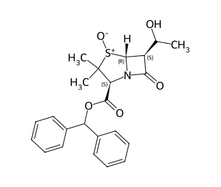 CC(O)[C@H]1C(=O)N2[C@@H]1[S+]([O-])C(C)(C)[C@@H]2C(=O)OC(c1ccccc1)c1ccccc1